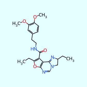 CCc1oc2c(c1C(=O)NCCc1ccc(OC)c(OC)c1)C1=NC(CC)CN1C=N2